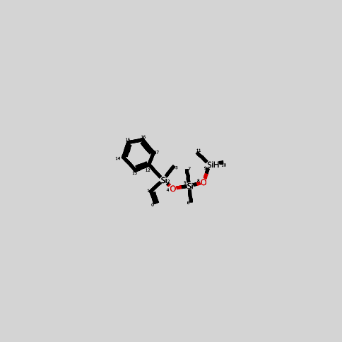 C=C[Si](C)(O[Si](C)(C)O[SiH](C)C)c1ccccc1